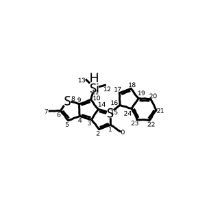 CC1=CC2=c3cc(C)sc3=C([SiH](C)C)C2=S1C1C=Cc2ccccc21